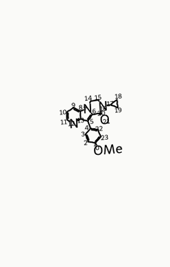 COc1ccc(-c2c3n(c4cccnc24)CCN(C2CC2)C3=O)cc1